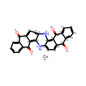 O=c1c2ccccc2c(=O)c2c1ccc1[nH]c3c(ccc4c(=O)c5ccccc5c(=O)c43)[nH]c12.[Cu]